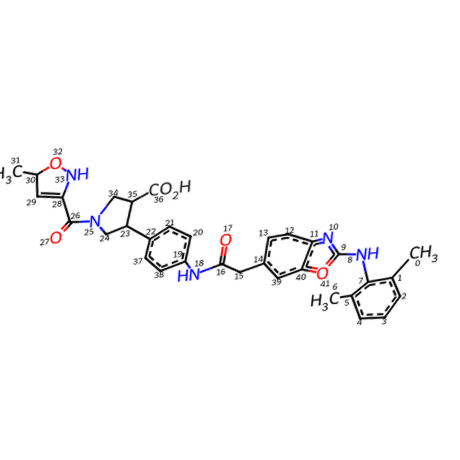 Cc1cccc(C)c1Nc1nc2ccc(CC(=O)Nc3ccc(C4CN(C(=O)C5=CC(C)ON5)CC4C(=O)O)cc3)cc2o1